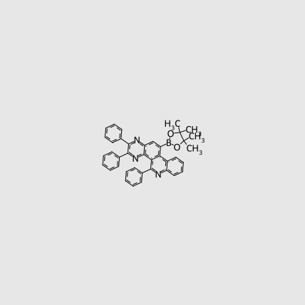 CC1(C)OB(c2cc3nc(-c4ccccc4)c(-c4ccccc4)nc3c3c(-c4ccccc4)nc4ccccc4c23)OC1(C)C